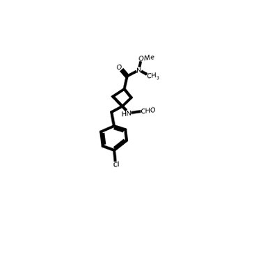 CON(C)C(=O)C1CC(Cc2ccc(Cl)cc2)(NC=O)C1